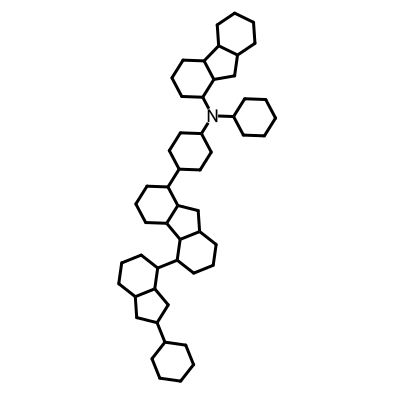 C1CCC(C2CC3CCCC(C4CCCC5CC6C(C7CCC(N(C8CCCCC8)C8CCCC9C%10CCCCC%10CC98)CC7)CCCC6C54)C3C2)CC1